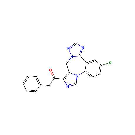 O=C(Cc1ccccc1)c1ncn2c1Cn1ncnc1-c1cc(Br)ccc1-2